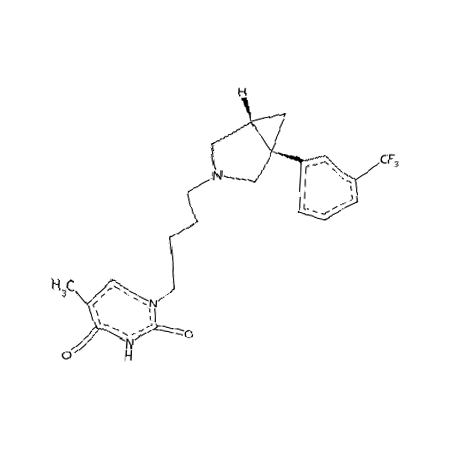 Cc1cn(CCCCN2C[C@@H]3C[C@]3(c3cccc(C(F)(F)F)c3)C2)c(=O)[nH]c1=O